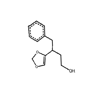 OCCC(Cc1ccccc1)C1=COCO1